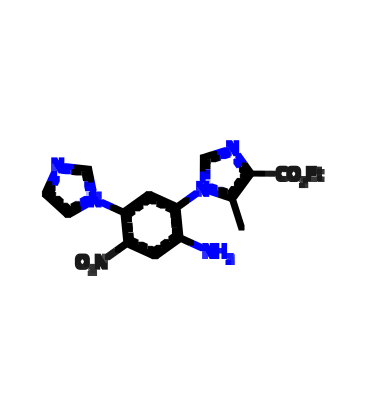 CCOC(=O)c1ncn(-c2cc(-n3ccnc3)c([N+](=O)[O-])cc2N)c1C